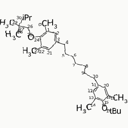 Cc1cc(CCCCCCCc2cc(C)c(OC(C)(C)C)c(C)c2)cc(C)c1OCC(C)(C)C(C)C